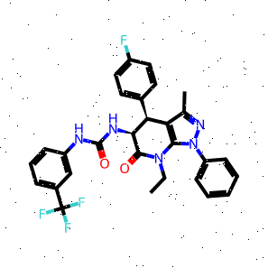 CCN1C(=O)[C@@H](NC(=O)Nc2cccc(C(F)(F)F)c2)[C@@H](c2ccc(F)cc2)c2c(C)nn(-c3ccccc3)c21